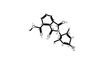 COC(=O)c1cccc2c1C(=O)N(c1c(C)cc(Br)cc1C)C2=O